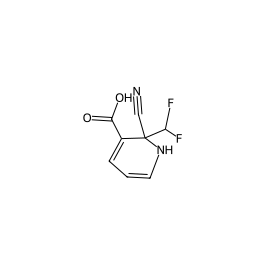 N#CC1(C(F)F)NC=CC=C1C(=O)O